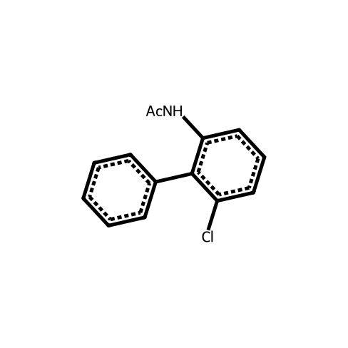 CC(=O)Nc1cccc(Cl)c1-c1ccccc1